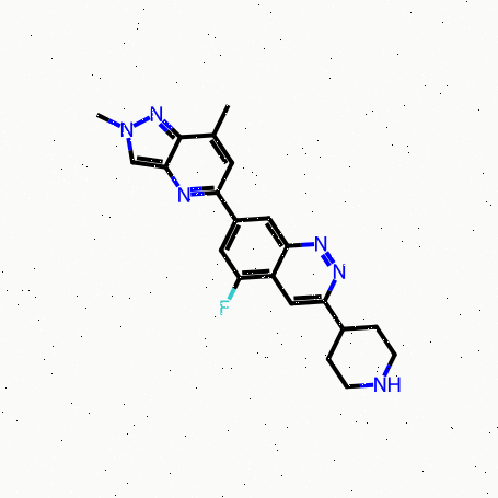 Cc1cc(-c2cc(F)c3cc(C4CCNCC4)nnc3c2)nc2cn(C)nc12